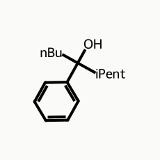 CCCCC(O)(c1ccccc1)C(C)CCC